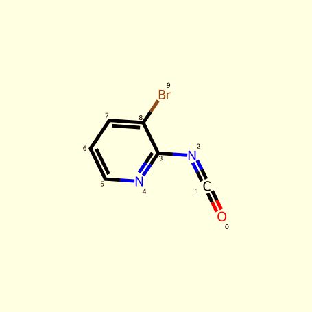 O=C=Nc1ncccc1Br